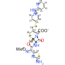 CO/N=C(\C(=O)N[C@@H]1C(=O)N2C(C(=O)[O-])=C(CSc3cc[n+](Nc4ccccn4)cc3)CS[C@H]12)c1csc(N)n1